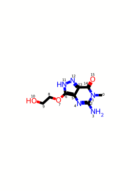 Cn1c(N)nc2c(OCCO)[nH]nc2c1=O